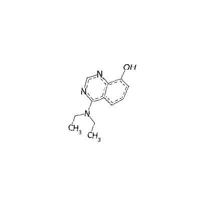 CCN(CC)c1ncnc2c(O)cccc12